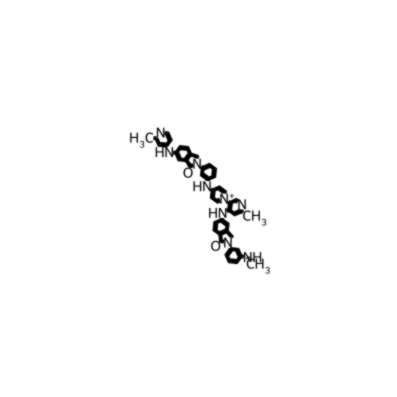 CNc1cccc(N2Cc3cc(Nc4cc(C)ncc4-[n+]4ccc(Nc5cccc(N6Cc7ccc(Nc8ccnc(C)c8)cc7C6=O)c5)cc4)ccc3C2=O)c1